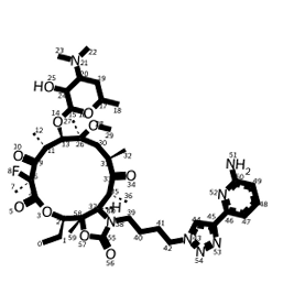 CC[C@H]1OC(=O)[C@@](C)(F)C(=O)[C@H](C)[C@@H](OC2OC(C)CC(N(C)C)C2O)[C@@](C)(OC)C[C@@H](C)C(=O)[C@H](C)[C@H]2N(CCCCn3cc(-c4cccc(N)n4)nn3)C(=O)O[C@]12C